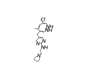 Cc1cc(Cl)c[nH][nH]cc1Cc1cnc(NCCN2CCCC2)nc1